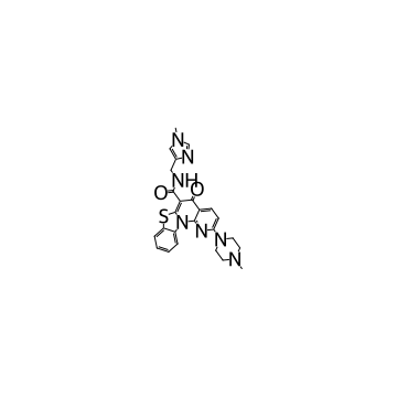 CN1CCN(c2ccc3c(=O)c(C(=O)NCc4cn(C)cn4)c4sc5ccccc5n4c3n2)CC1